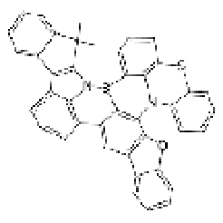 CC1(C)c2ccccc2-c2c1n1c3c(cccc23)-c2cc3c(oc4ccccc43)c3c2B1c1cccc2c1N3c1ccccc1S2